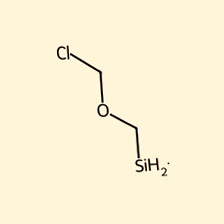 [SiH2]COCCl